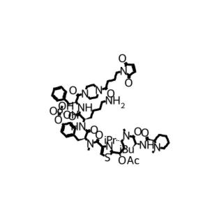 CC[C@H](C)[C@H](NC(=O)[C@H]1CCCCN1C)C(=O)N(C)[C@H](C[C@@H](OC(C)=O)c1nc(C(=O)N(C)[C@@H](Cc2ccc(OP(=O)(O)O)cc2)C(=O)N[C@H](CCCCN)C(=O)N[C@@H](Cc2ccccc2)C(=O)N2CCN(C(=O)CCCN3C(=O)C=CC3=O)CC2)cs1)C(C)C